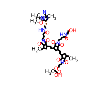 C=CC1CC(C=CC2CC(C=CC3CC(C=C)C4C(=O)N(CCCC(=O)NCCSC(CC(C)(C)C#N)C(=O)NC(C)C)C(=O)C34)C3C(=O)N(CCCC(=O)NCCO)C(=O)C23)C2C(=O)N(CCCOC(C)C(=O)O)C(=O)C12